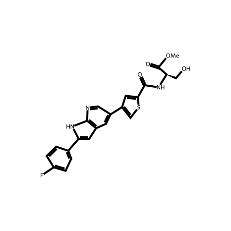 COC(=O)[C@@H](CO)NC(=O)c1cc(-c2cnc3[nH]c(-c4ccc(F)cc4)cc3c2)cs1